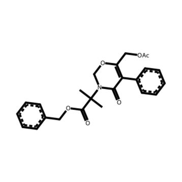 CC(=O)OCC1=C(c2ccccc2)C(=O)N(C(C)(C)C(=O)OCc2ccccc2)CO1